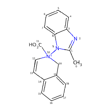 Cc1nc2ccccc2n1[N+]1(C(=O)O)C=Cc2ccccc2C1